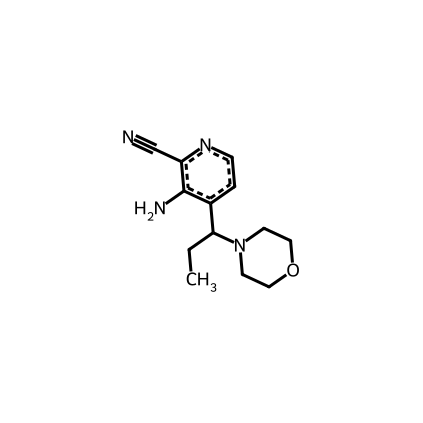 CCC(c1ccnc(C#N)c1N)N1CCOCC1